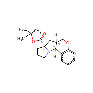 CC(C)(C)OC(=O)[C@@]12CCCN1[C@@H]1c3ccccc3OC[C@@H]1C2